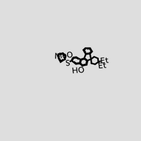 CCC1(CC)CCC2(CC1)c1ccccc1-c1c2cc(O)c2cc(Sc3ccccc3)c(OC)cc12